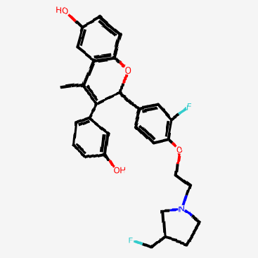 CC1=C(c2cccc(O)c2)C(c2ccc(OCCN3CCC(CF)C3)c(F)c2)Oc2ccc(O)cc21